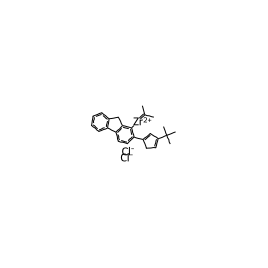 C[C](C)=[Zr+2][c]1c(C2=CC(C(C)(C)C)=CC2)ccc2c1Cc1ccccc1-2.[Cl-].[Cl-]